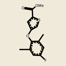 COC(=O)c1cc(Oc2c(C)cc(F)cc2C)cs1